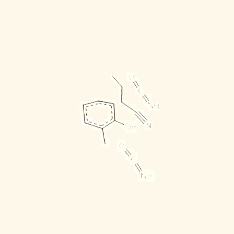 CCCC#N.Cc1ccccc1O.N=C=O.N=C=O